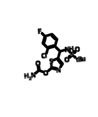 CC(C)(C)S(=O)(=O)NC(c1cnc(OC(N)=O)s1)c1ccc(F)cc1Cl